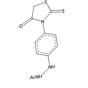 CC(=O)NNc1ccc(N2C(=O)CSC2=S)cc1